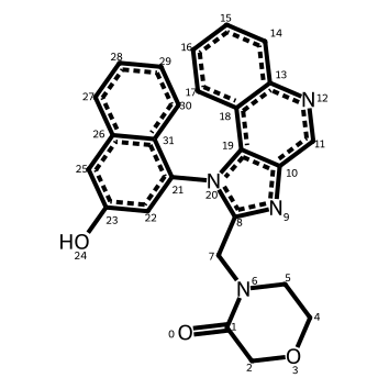 O=C1COCCN1Cc1nc2cnc3ccccc3c2n1-c1cc(O)cc2ccccc12